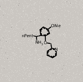 CCCCCC(N)c1ccc(OC)cc1OCc1ccccn1